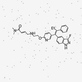 CCC(=C(c1ccc(OCCNCC=CC(=O)N(C)C)nc1)c1ccc2[nH]nc(F)c2c1)c1ccccc1